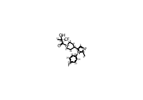 Cc1ncc(C2CCN(C(=O)[C@@](C)(O)C(F)(F)F)CC2)n1-c1ccc(F)cc1